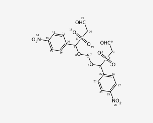 O=CCS(=O)(=O)C(OSOC(c1ccc([N+](=O)[O-])cc1)S(=O)(=O)CC=O)c1ccc([N+](=O)[O-])cc1